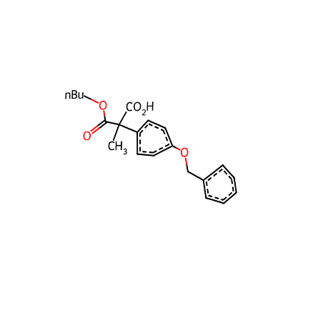 CCCCOC(=O)C(C)(C(=O)O)c1ccc(OCc2ccccc2)cc1